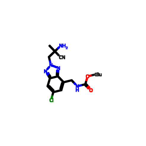 CC(N)(C#N)Cn1nc2cc(Cl)cc(CNC(=O)OC(C)(C)C)c2n1